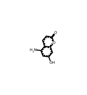 Nc1cc(O)cc2oc(=O)ccc12